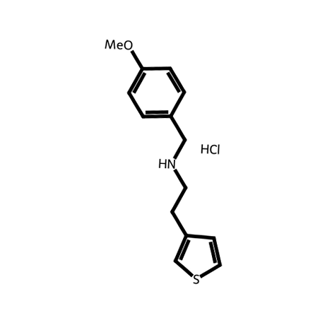 COc1ccc(CNCCc2ccsc2)cc1.Cl